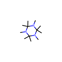 CN1C(C)(C)N(C)C(C)(C)N(C)C1(C)C